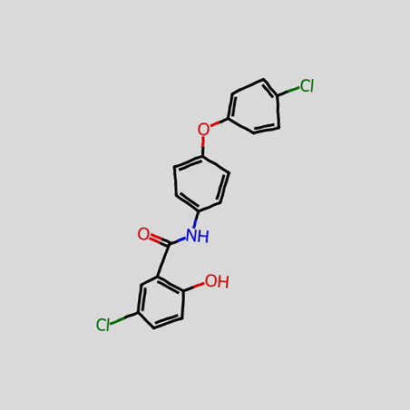 O=C(Nc1ccc(Oc2ccc(Cl)cc2)cc1)c1cc(Cl)ccc1O